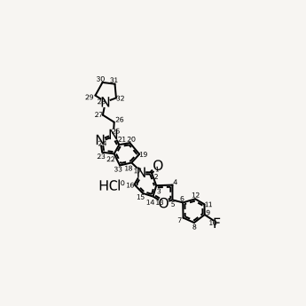 Cl.O=c1c2cc(-c3ccc(F)cc3)oc2ccn1-c1ccc2c(cnn2CCN2CCCC2)c1